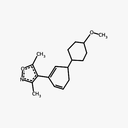 COC1CCC(C2C=C(c3c(C)noc3C)C=CC2)CC1